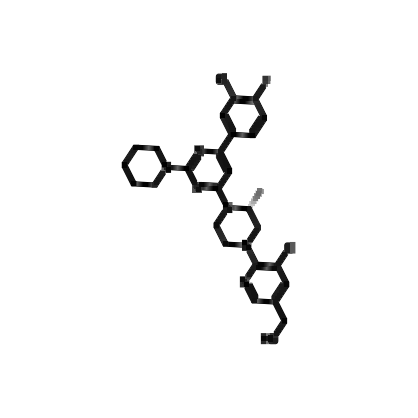 C[C@@H]1CN(c2ncc(CO)cc2Cl)CCN1c1cc(-c2ccc(F)c(Cl)c2)nc(N2CCCCC2)n1